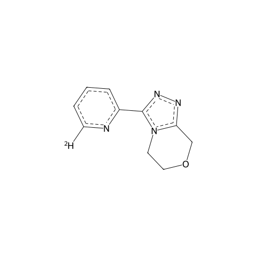 [2H]c1cccc(-c2nnc3n2CCOC3)n1